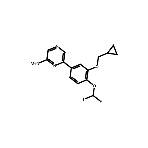 CNc1cncc(-c2ccc(OC(F)F)c(OCC3CC3)c2)n1